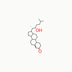 CC(C)CCC(O)[C@@H](C)C1CCC2C3CCC4=CC(=O)CC[C@]4(C)C3CC[C@@]21C